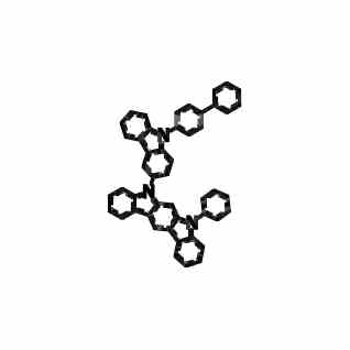 c1ccc(-c2ccc(-n3c4ccccc4c4cc(-n5c6ccccc6c6cc7c8ccccc8n(-c8ccccc8)c7cc65)ccc43)cc2)cc1